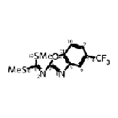 CSC(=Nc1nc2cc(C(F)(F)F)ccc2o1)SC